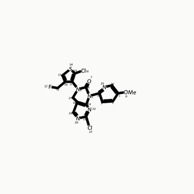 COc1ccc(N2C(=O)N(c3c(CF)csc3Cl)Cc3cnc(Cl)nc32)nc1